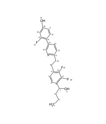 CCCC(O)c1ccc(CCc2ccc(-c3ccc(O)cc3F)cc2)c(F)c1F